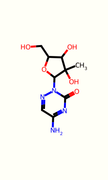 CC1(O)C(O)C(CO)OC1n1ncc(N)nc1=O